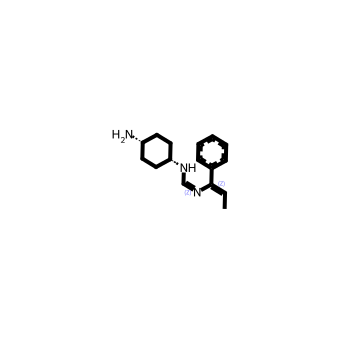 C/C=C(\N=C/N[C@H]1CC[C@@H](N)CC1)c1ccccc1